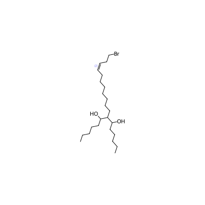 CCCCCC(O)C(CCCCCCC/C=C\CCBr)C(O)CCCCC